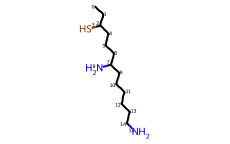 CCC(S)CCCC(N)CCCCCCN